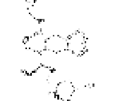 CCC(C)[C@H](NC[C@@H]1C[C@H](S)CN1)C(=O)N1Cc2ccccc2C[C@H]1C(=O)NCC(=O)O